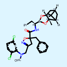 CC(C)C[C@H](NC(=O)C1(Cc2ccccc2)CC(CN(C=O)c2cc(Cl)ccc2Cl)=NO1)B1O[C@@H]2C[C@@H]3C[C@@H](C3(C)C)[C@]2(C)O1